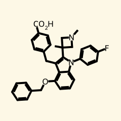 CN1CC(C)(c2c(Cc3ccc(C(=O)O)cc3)c3c(OCc4ccccc4)cccc3n2-c2ccc(F)cc2)C1